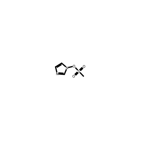 CS(=O)(=O)On1ccnc1